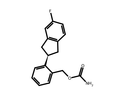 NC(=O)OCc1ccccc1[C@@H]1Cc2ccc(F)cc2C1